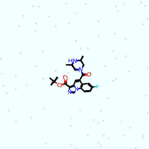 CC1CN(C(=O)c2cc3c(C(=O)OC(C)(C)C)ncn3c3ccc(F)cc23)CC(C)N1